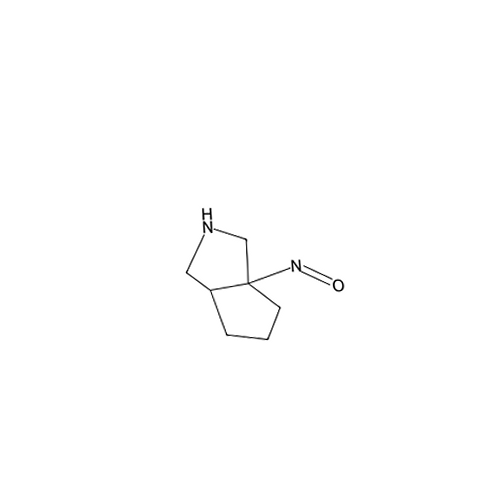 O=NC12CCCC1CNC2